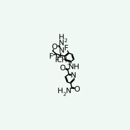 C[C@]1(c2cc(NC(=O)c3ccc(C(N)=O)cn3)ccc2F)N=C(N)OCC1(F)F